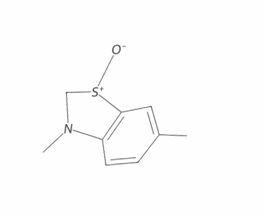 Cc1ccc2c(c1)[S+]([O-])CN2C